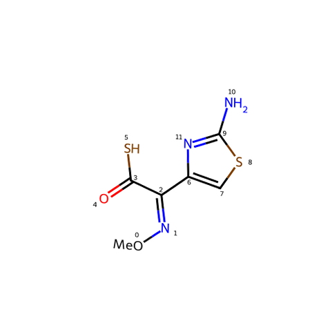 CON=C(C(=O)S)c1csc(N)n1